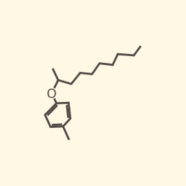 CCCCCCCCC(C)Oc1ccc(C)cc1